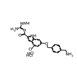 CNC(N)=NC(=O)c1cc2c(Cl)cc(OCc3ccc(CN)cc3)cc2[nH]1.Cl.Cl